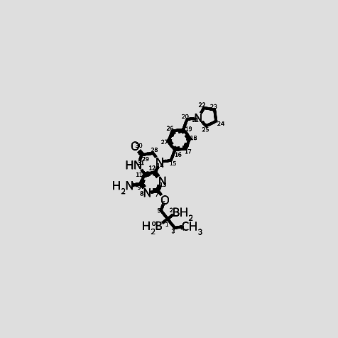 BC(B)(CC)COc1nc(N)c2c(n1)N(Cc1ccc(CN3CCCC3)cc1)CC(=O)N2